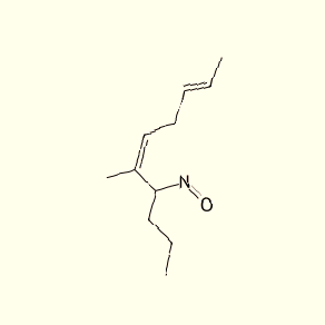 C/C=C/C/C=C(/C)C(CCC)N=O